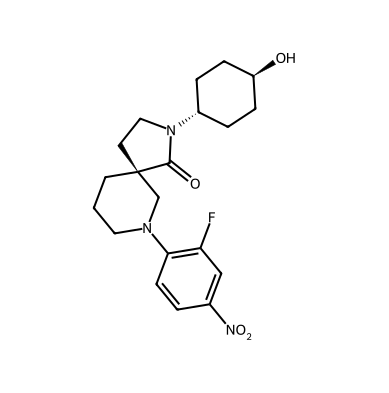 O=C1N([C@H]2CC[C@H](O)CC2)CC[C@@]12CCCN(c1ccc([N+](=O)[O-])cc1F)C2